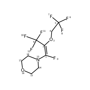 F/C(=C(\OCC(F)(F)F)C(F)(F)F)N1CCOCC1